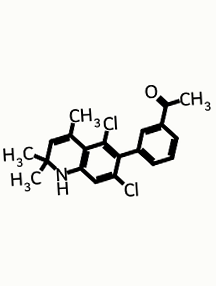 CC(=O)c1cccc(-c2c(Cl)cc3c(c2Cl)C(C)=CC(C)(C)N3)c1